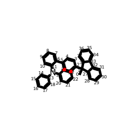 CC1(c2ccc(-c3ccccc3N(c3ccccc3)c3ccccc3)cc2)c2ccccc2-c2ccccc21